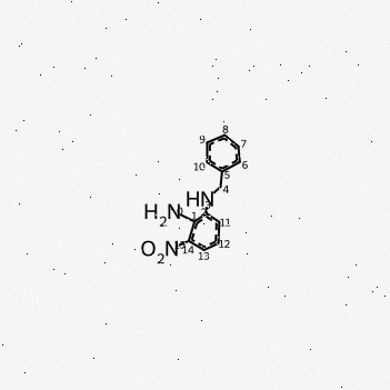 Nc1c(NCc2ccccc2)cccc1[N+](=O)[O-]